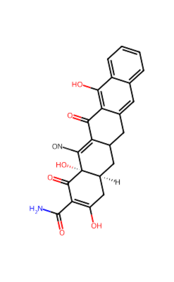 NC(=O)C1=C(O)C[C@@H]2CC3Cc4cc5ccccc5c(O)c4C(=O)C3=C(N=O)[C@]2(O)C1=O